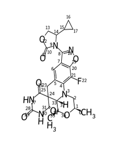 C[C@@H]1CN2c3c(cc4c(N5C(=O)OCC5C5CC5)noc4c3F)CC3(C(=O)NC(=O)NC3=O)[C@H]2[C@H](C)O1